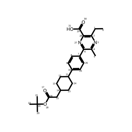 CCc1nc(C)c(-c2ccc(C3CCC(CC(=O)OC(C)(C)C)CC3)cc2)nc1C(=O)O